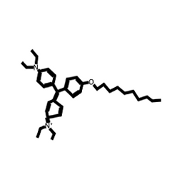 CCCCCCCCCCOc1ccc(C(=C2C=CC(=[N+](CC)CC)C=C2)c2ccc(N(CC)CC)cc2)cc1